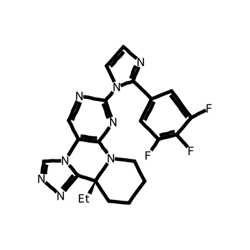 CC[C@]12CCCCN1c1nc(-n3ccnc3-c3cc(F)c(F)c(F)c3)ncc1-n1cnnc12